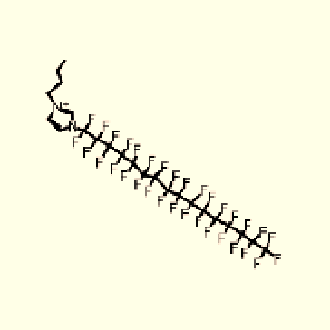 CCCC[n+]1ccn(C(F)(F)C(F)(F)C(F)(F)C(F)(F)C(F)(F)C(F)(F)C(F)(F)C(F)(F)C(F)(F)C(F)(F)C(F)(F)C(F)(F)C(F)(F)C(F)(F)C(F)(F)C(F)(F)F)c1